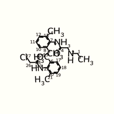 CCNCC(=O)Nc1c(C)cccc1C.Cc1cccc(C)c1NC(=O)CCl